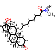 CCCN(C)C(=O)CCCCCCC[C@H]1C[C@]2(C)[C@@H](O)CC[C@H]2[C@@H]2CC[C@H]3CC(=O)CC[C@]3(C)[C@@H]12